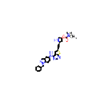 CN(C)C(=O)OC1CNC(C#Cc2cc3c(Nc4ccc5c(cnn5Cc5ccccc5)c4)ncnc3s2)C1